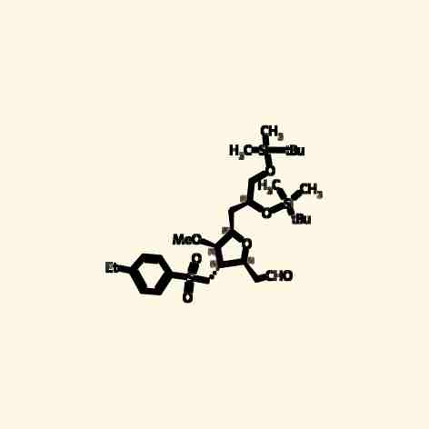 CCc1ccc(S(=O)(=O)C[C@@H]2[C@@H](OC)[C@@H](C[C@@H](CO[Si](C)(C)C(C)(C)C)O[Si](C)(C)C(C)(C)C)O[C@H]2CC=O)cc1